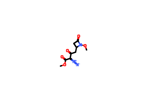 COC(=O)C(=[N+]=[N-])C(=O)CC1CC(=O)N1OC